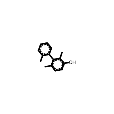 Cc1ccccc1-c1c(C)ccc(O)c1C